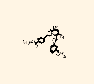 CCc1cccc(OCc2c(Br)cc(Br)c(=O)n2CCc2ccc(C(=O)OC)cc2)c1